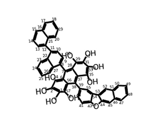 Oc1c(O)c(O)c2c(-c3ccc(-c4cccc5ccccc45)c4ccccc34)c3c(O)c(O)c(O)c(O)c3c(-c3ccc4oc5cc6ccccc6cc5c4c3)c2c1O